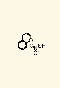 C1=COc2ccccc2C1.O=[N+]([O-])O